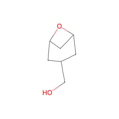 OCC1CC2CC(C1)O2